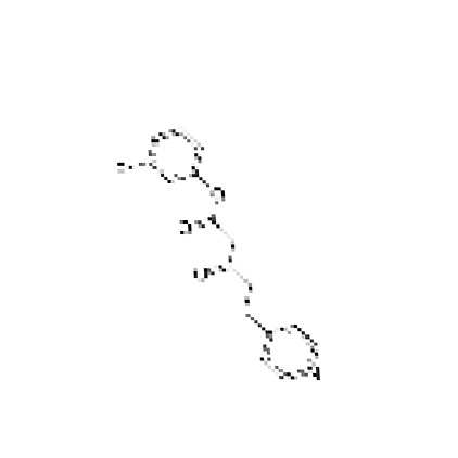 O=C(CCc1ccncc1)CC(=O)Oc1cccc(F)c1